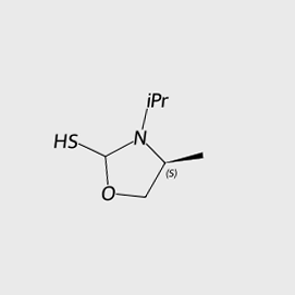 CC(C)N1C(S)OC[C@@H]1C